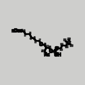 CCCCCCCCCCCCCCCCCOCC(COP(O)OCCC[N+](C)(C)C)CC(C)=O